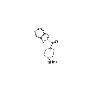 CCCCCCN1CCN(C(=O)c2cc3ccccc3[nH]2)CC1